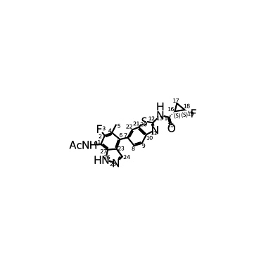 CC(=O)Nc1c(F)c(C)c(-c2ccc3nc(NC(=O)[C@@H]4C[C@@H]4F)sc3c2)c2cn[nH]c12